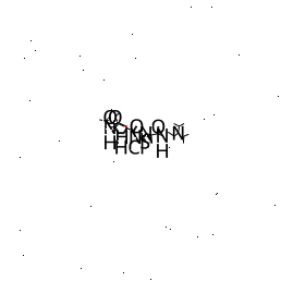 COc1cc(C(=O)Nc2nc(C(=O)NCCN(C(C)C)C(C)C)cs2)ccc1NC(C)=O.Cl